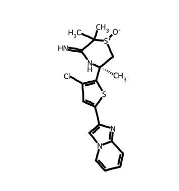 CC1(C)C(=N)N[C@](C)(c2sc(-c3cn4ccccc4n3)cc2Cl)C[S+]1[O-]